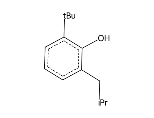 CC(C)Cc1cccc(C(C)(C)C)c1O